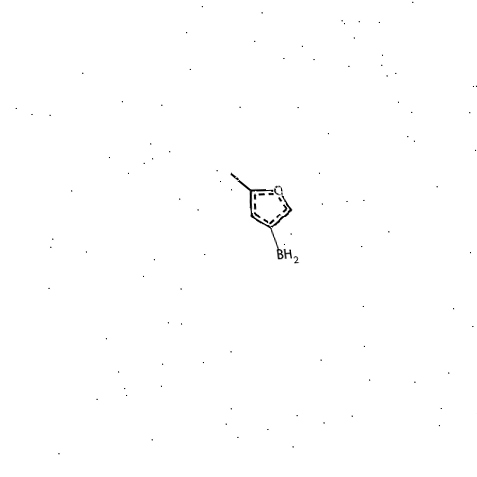 Bc1coc(C)c1